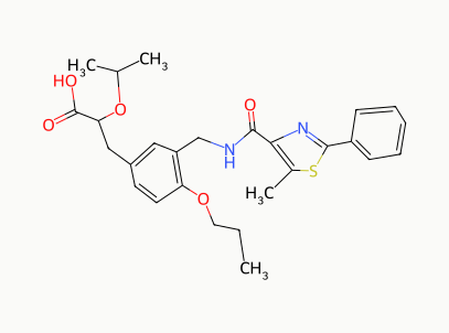 CCCOc1ccc(CC(OC(C)C)C(=O)O)cc1CNC(=O)c1nc(-c2ccccc2)sc1C